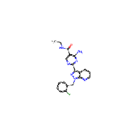 Nc1nc(-c2nn(Cc3ccccc3F)c3ncccc23)ncc1C(=O)NCC(F)(F)F